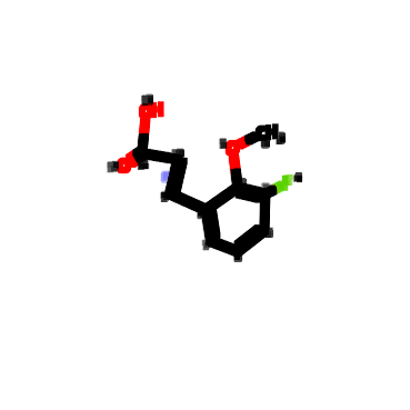 COc1c(F)cccc1/C=C/C(=O)O